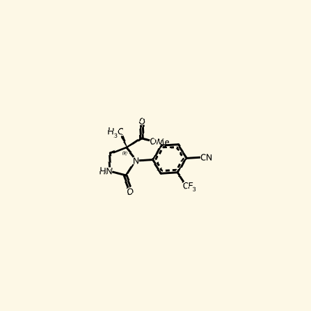 COC(=O)[C@@]1(C)CNC(=O)N1c1ccc(C#N)c(C(F)(F)F)c1